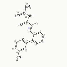 C/C(=C\c1ccccc1-c1cccc(C#N)c1)C(=O)NC(=N)N